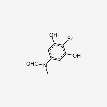 CN(C=O)c1cc(O)c(Br)c(O)c1